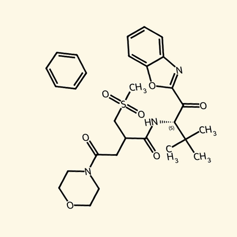 CC(C)(C)[C@H](NC(=O)C(CC(=O)N1CCOCC1)CS(C)(=O)=O)C(=O)c1nc2ccccc2o1.c1ccccc1